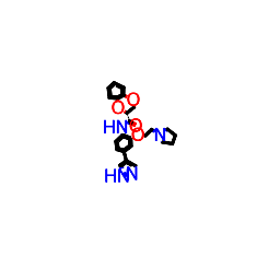 O=C(Nc1ccc(-c2cn[nH]c2)cc1OCCN1CCCC1)[C@H]1COc2ccccc2O1